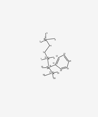 C[Si](C)(C)CC[Si](C)(C)[Si](C)(c1ccccc1)[Si](C)(C)C